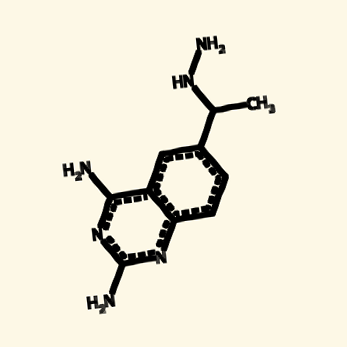 CC(NN)c1ccc2nc(N)nc(N)c2c1